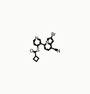 N#Cc1ccc(-c2cnccc2SC(=O)C2CCC2)n2cc(Br)cc12